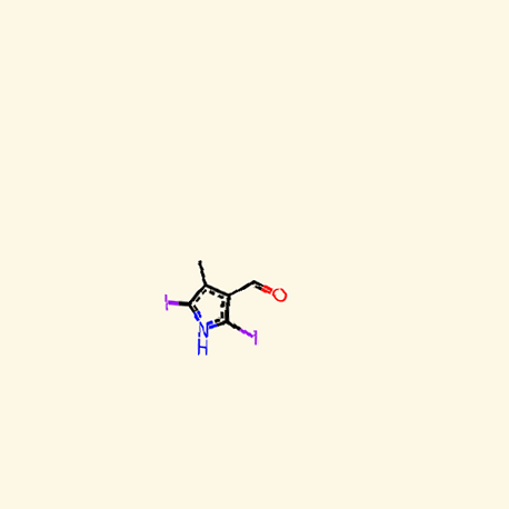 Cc1c(I)[nH]c(I)c1C=O